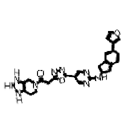 O=C(Cc1nnc(-c2cnc(NC3Cc4ccc(-c5ccoc5)cc4C3)nc2)o1)N1CCC2=C(C1)NNN2